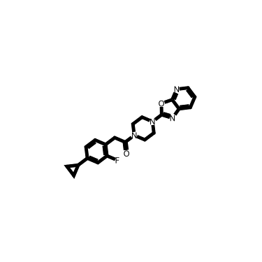 O=C(Cc1ccc(C2CC2)cc1F)N1CCN(c2nc3cccnc3o2)CC1